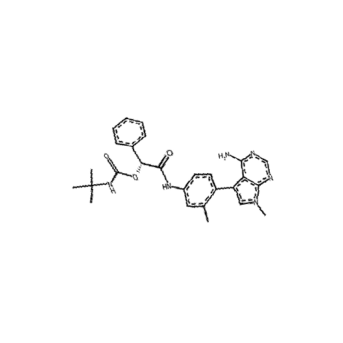 Cc1cc(NC(=O)[C@H](OC(=O)NC(C)(C)C)c2ccccc2)ccc1-c1cn(C)c2ncnc(N)c12